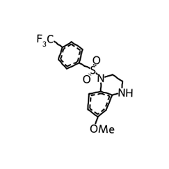 COc1ccc2c(c1)NCCN2S(=O)(=O)c1ccc(C(F)(F)F)cc1